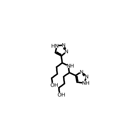 OCCCC(NC(CCCO)c1c[nH]nn1)c1c[nH]nn1